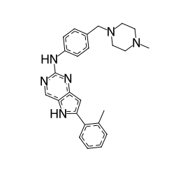 Cc1ccccc1-c1cc2nc(Nc3ccc(CN4CCN(C)CC4)cc3)ncc2[nH]1